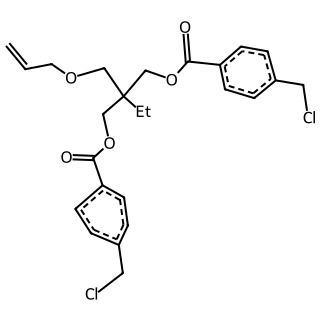 C=CCOCC(CC)(COC(=O)c1ccc(CCl)cc1)COC(=O)c1ccc(CCl)cc1